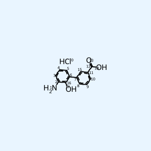 Cl.Nc1cccc(-c2cccc(C(=O)O)c2)c1O